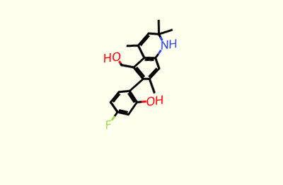 CC1=CC(C)(C)Nc2cc(C)c(-c3ccc(F)cc3O)c(CO)c21